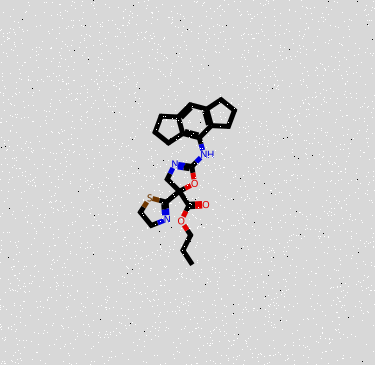 CCCOC(=O)C1(C2=NCCS2)CN=C(Nc2c3c(cc4c2CCC4)CCC3)O1